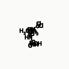 CC(C)(C)CN(CCNCCc1ccc(O)c2[nH]c(=O)sc12)C(=O)CCNCCc1ccc(Cl)c(Cl)c1